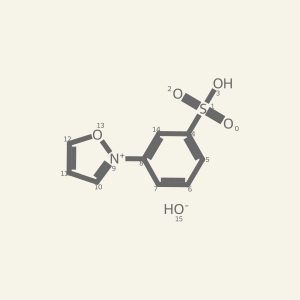 O=S(=O)(O)c1cccc(-[n+]2ccco2)c1.[OH-]